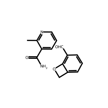 Cc1ncccc1C(N)=O.O=Cc1cccc2c1OC2